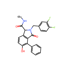 CC(C)(C)NC(=O)C1c2ccc(O)c(-c3ccccc3)c2C(=O)N1Cc1ccc(F)c(F)c1